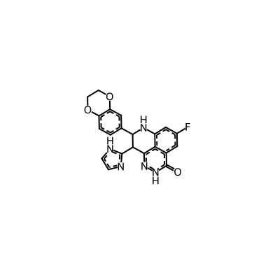 O=c1[nH]nc2c3c(cc(F)cc13)NC(c1ccc3c(c1)OCCO3)C2c1ncc[nH]1